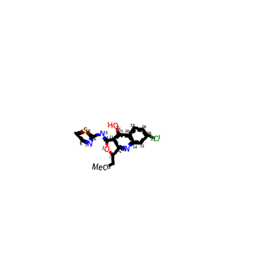 COCC1OC(=Nc2nccs2)c2c1nc1cc(Cl)ccc1c2O